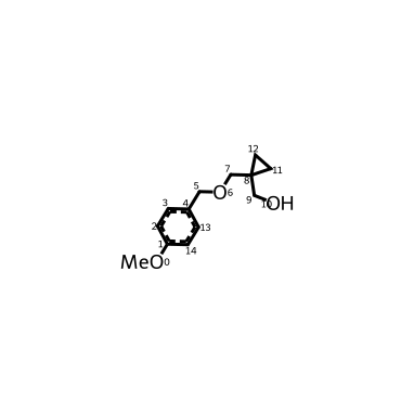 COc1ccc(COCC2(CO)CC2)cc1